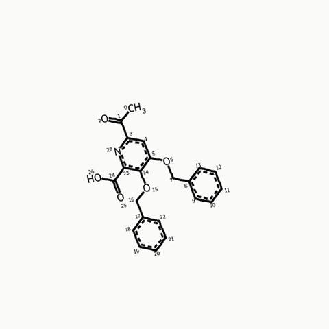 CC(=O)c1cc(OCc2ccccc2)c(OCc2ccccc2)c(C(=O)O)n1